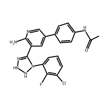 CC(=O)Nc1ccc(-c2cnc(N)c(C3=NNNN3c3cccc(Cl)c3F)c2)cc1